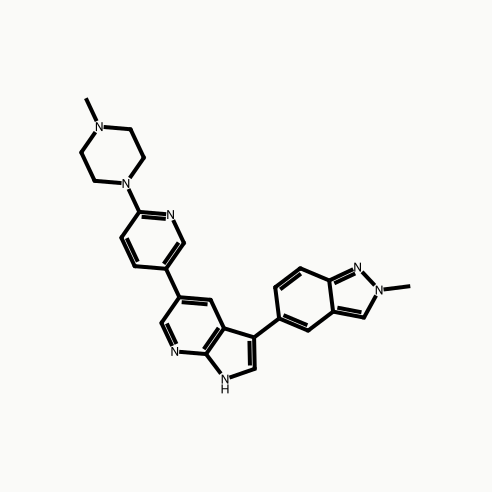 CN1CCN(c2ccc(-c3cnc4[nH]cc(-c5ccc6nn(C)cc6c5)c4c3)cn2)CC1